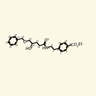 CCOC(=O)c1ccc(CCNC(=O)CCC(O)COCc2ccccc2)cc1